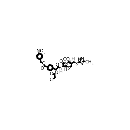 Cc1nnc(SCC2=C(C(=O)O)N3C(=O)C(NC(=O)C(OC(=O)CCl)c4ccc(C(=O)OCc5ccc([N+](=O)[O-])cc5)cc4)[C@@H]3SC2)s1